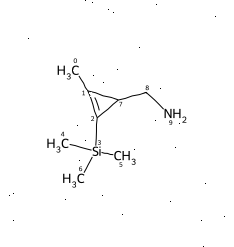 CC1=C([Si](C)(C)C)C1CN